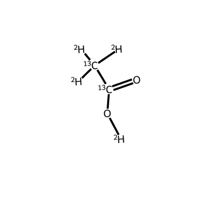 [2H]O[13C](=O)[13C]([2H])([2H])[2H]